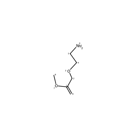 C=C(COCCN)OC